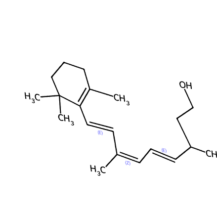 CC1=C(/C=C/C(C)=C\C=C\C(C)CCO)C(C)(C)CCC1